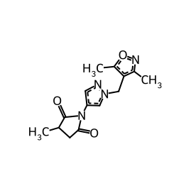 Cc1noc(C)c1Cn1cc(N2C(=O)CC(C)C2=O)cn1